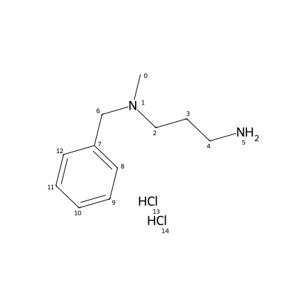 CN(CCCN)Cc1ccccc1.Cl.Cl